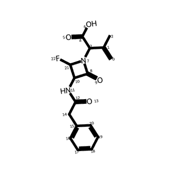 C=C(C)C(C(=O)O)N1C(=O)C(NC(=O)Cc2ccccc2)C1F